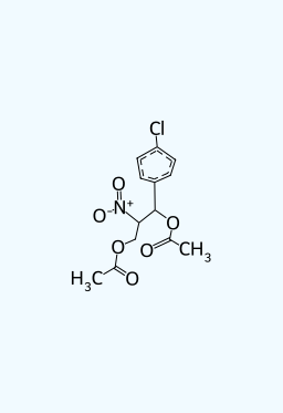 CC(=O)OCC(C(OC(C)=O)c1ccc(Cl)cc1)[N+](=O)[O-]